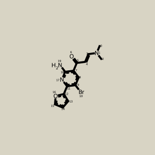 CN(C)C=CC(=O)c1cc(Br)c(-c2ccco2)nc1N